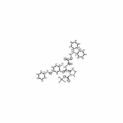 CC(C)(C)OC(=O)[C@@H]1CCCN1C(=O)[C@H](Cc1ccc(OCc2ccccc2)cc1)NC(=O)OCC1c2ccccc2-c2ccccc21